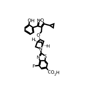 O=C(O)c1cc(F)c2nc(N3C[C@@H]4C[C@H]3C[C@H]4OCc3c(-c4ccccc4O)noc3C3CC3)sc2c1